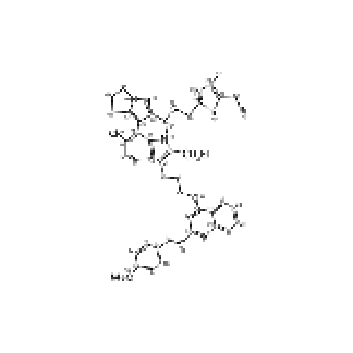 CCOC(=O)c1c(CCCOc2cc(SCc3ccc(OC)cc3)cc3ccccc23)c2ccc(Cl)c(-c3c(CSCc4nc(C)c(CBr)s4)nn4c3CCC4)c2n1C